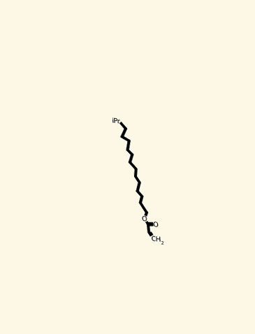 C=CC(=O)OCCCCCCCCCCCCCC(C)C